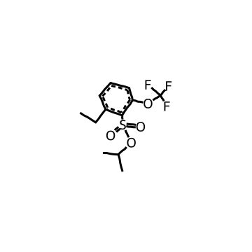 CCc1cccc(OC(F)(F)F)c1S(=O)(=O)OC(C)C